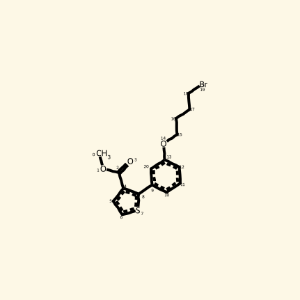 COC(=O)c1ccsc1-c1cccc(OCCCCBr)c1